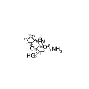 CC(C)C(Cl)c1c(OCCN)noc1-c1ccccc1.Cl